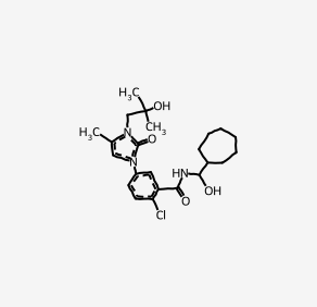 Cc1cn(-c2ccc(Cl)c(C(=O)NC(O)C3CCCCCC3)c2)c(=O)n1CC(C)(C)O